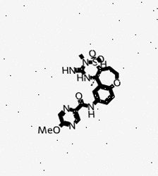 COc1cnc(C(=O)Nc2ccc3c(c2)[C@@]2(C)NC(=N)N(C)S(=O)(=O)[C@@H]2CCO3)cn1